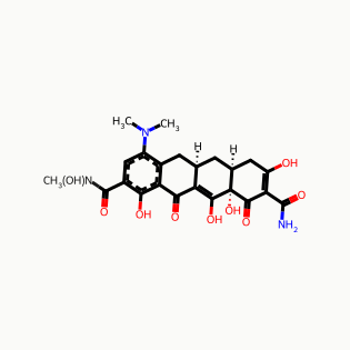 CN(O)C(=O)c1cc(N(C)C)c2c(c1O)C(=O)C1=C(O)[C@]3(O)C(=O)C(C(N)=O)=C(O)C[C@@H]3C[C@@H]1C2